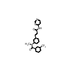 CN(C(=O)c1cccc(C(F)(F)F)c1)c1cccc(C=CC(=O)Nc2ccncn2)c1